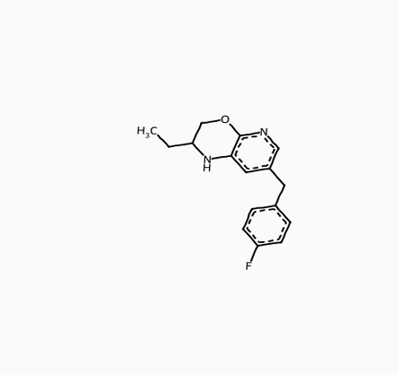 CCC1COc2ncc(Cc3ccc(F)cc3)cc2N1